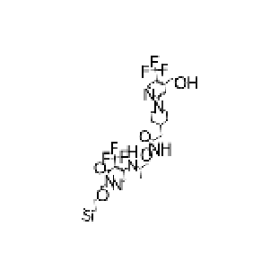 CC(CONC(=O)CC1CCN(c2cc(CO)c(C(F)(F)F)cn2)CC1)Nc1cnn(COCC[Si](C)(C)C)c(=O)c1C(F)(F)F